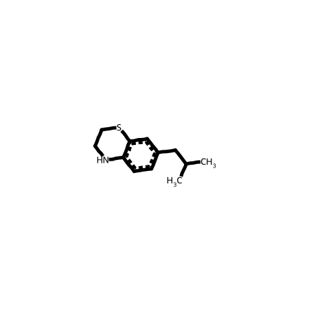 CC(C)Cc1ccc2c(c1)SCCN2